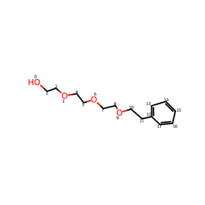 OCCOCCOCCOCCc1ccccc1